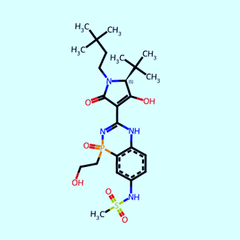 CC(C)(C)CCN1C(=O)C(C2=NP(=O)(CCO)c3cc(NS(C)(=O)=O)ccc3N2)=C(O)[C@@H]1C(C)(C)C